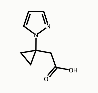 O=C(O)CC1(n2cccn2)CC1